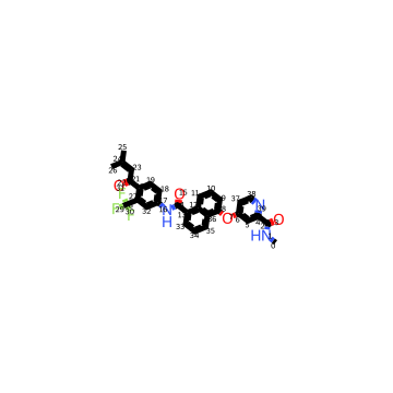 CNC(=O)c1cc(Oc2cccc3c(C(=O)Nc4ccc(C(=O)C=C(C)C)c(C(F)(F)F)c4)cccc23)ccn1